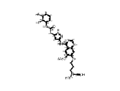 C#CN(CCC)CCCOc1cc2ncnc(Nc3cc(CC(=O)Nc4cccc(F)c4F)[nH]n3)c2cc1OC